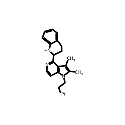 Cc1c(C)n(CCC(C)C)c2ccnc(C3CCc4ccccc4N3)c12